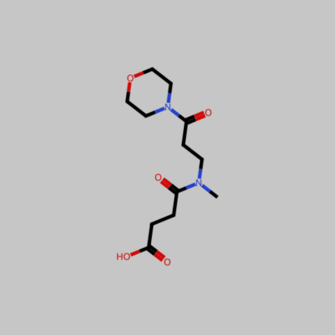 CN(CCC(=O)N1CCOCC1)C(=O)CCC(=O)O